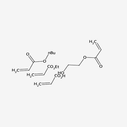 C=CC(=O)O.C=CC(=O)OCC.C=CC(=O)OCCCC.C=CC(=O)OCCO